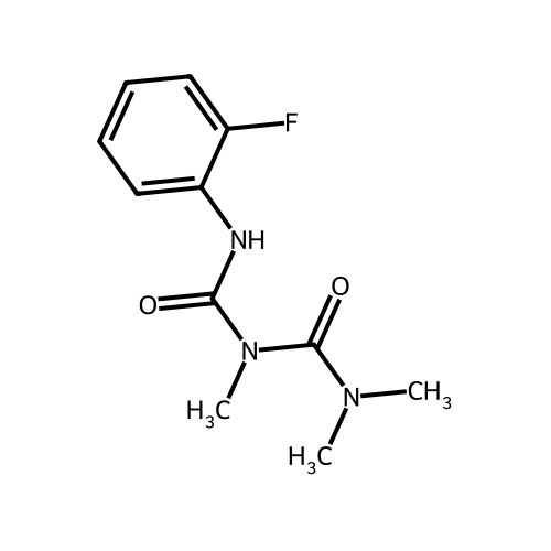 CN(C)C(=O)N(C)C(=O)Nc1ccccc1F